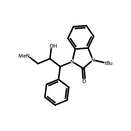 CNCC(O)C(c1ccccc1)n1c(=O)n(C(C)(C)C)c2ccccc21